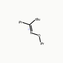 CC(C)O/N=C(/C(C)C)C(C)(C)C